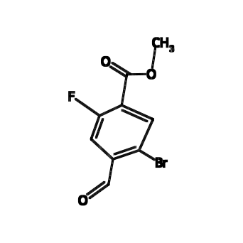 COC(=O)c1cc(Br)c(C=O)cc1F